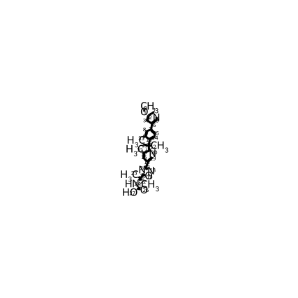 COc1cncc(-c2ccc(C(C)(c3ccc(-c4noc(C(C)(C)NC(=O)O)n4)cn3)C(C)C)cc2)c1